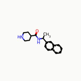 CC(NC(=O)C1CCNCC1)c1ccc2ccccc2c1